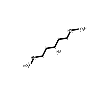 O=C(O)NCCCCCNC(=O)O.[Nd]